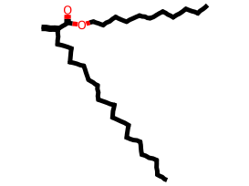 C=C(CCCCCCCCCCCCCCCC)C(=O)OCCCCCCCCCCC